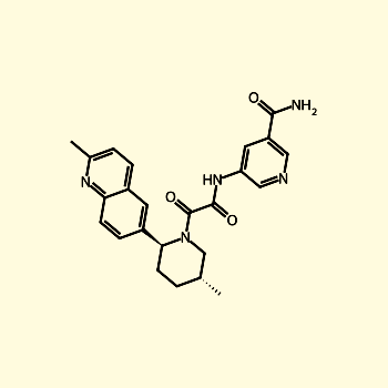 Cc1ccc2cc([C@@H]3CC[C@@H](C)CN3C(=O)C(=O)Nc3cncc(C(N)=O)c3)ccc2n1